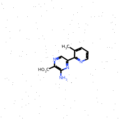 Cc1cccnc1-c1cnc(C(=O)O)c(N)n1